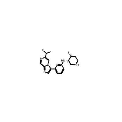 FC(F)c1cn2c(-c3cccc(N[C@H]4CNCC[C@@H]4F)n3)cnc2cn1